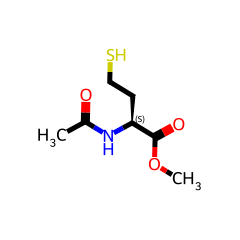 COC(=O)[C@H](CCS)NC(C)=O